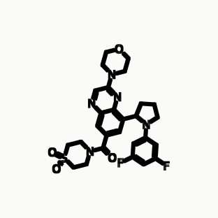 O=C(c1cc(C2CCCN2c2cc(F)cc(F)c2)c2nc(N3CCOCC3)cnc2c1)N1CCS(=O)(=O)CC1